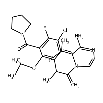 C=C(C(C)c1cc(Cl)c(F)c(C(=O)N2CCCC2)c1OC(C)C)N1C=CN=C(N)C1=C(C)C